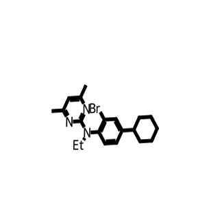 CCN(c1nc(C)cc(C)n1)c1ccc(C2CCCCC2)cc1Br